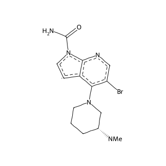 CN[C@@H]1CCCN(c2c(Br)cnc3c2[c]cn3C(N)=O)C1